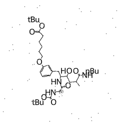 CCCCNC(=O)C(C)CC(O)C(Cc1cccc(OCCCCCC(=O)OC(C)(C)C)c1)NC(=O)[C@H](C)NC(=O)OC(C)(C)C